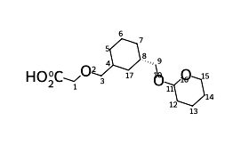 O=C(O)COCC1CCC[C@H](COC2CCCCO2)C1